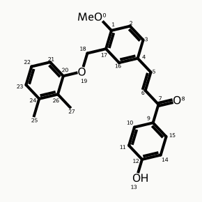 COc1ccc(C=CC(=O)c2ccc(O)cc2)cc1COc1cccc(C)c1C